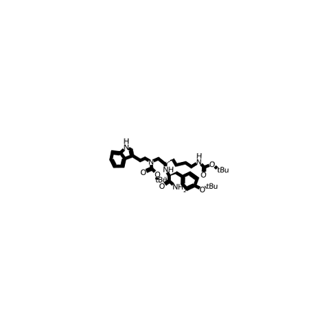 CC(C)(C)OC(=O)NCCCC[C@@H](CN(CCc1c[nH]c2ccccc12)C(=O)OC(C)(C)C)N[C@@H](Cc1ccc(OC(C)(C)C)cc1)C(N)=O